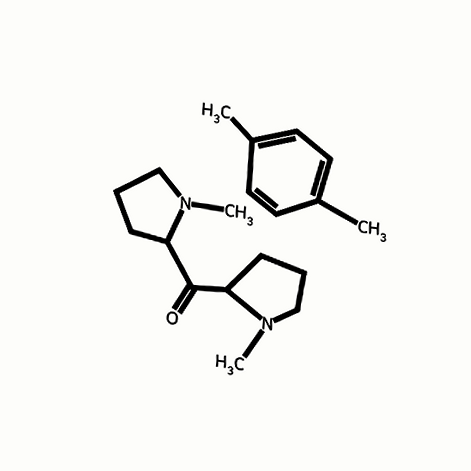 CN1CCCC1C(=O)C1CCCN1C.Cc1ccc(C)cc1